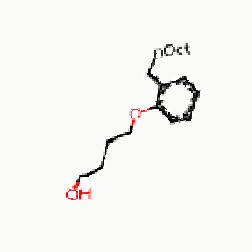 CCCCCCCCCc1ccccc1OCCCCO